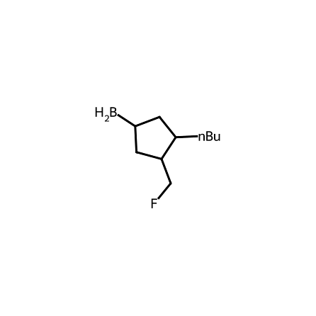 BC1CC(CF)C(CCCC)C1